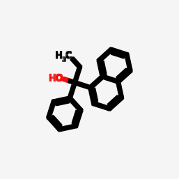 CCC(O)(c1ccccc1)c1cccc2ccccc12